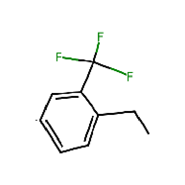 CCc1cc[c]cc1C(F)(F)F